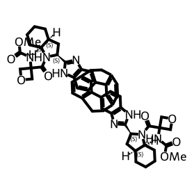 COC(=O)NC1(C(=O)N2[C@H](c3nc4cc(-c5cc6ccc5CCc5ccc(c(-c7ccc8[nH]c([C@@H]9C[C@@H]%10CCCC[C@@H]%10N9C(=O)C9(NC(=O)OC)COC9)nc8c7)c5)CC6)ccc4[nH]3)C[C@@H]3CCCC[C@@H]32)COC1